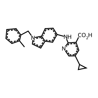 Cc1ccccc1Cn1ccc2cc(Nc3ncc(C4CC4)cc3C(=O)O)ccc21